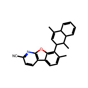 CC1=CC(c2c(C)ccc3c2oc2nc(C#N)ccc23)C(C)C2C=CC=CC12